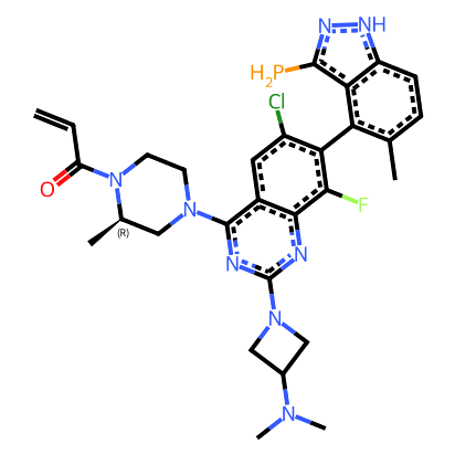 C=CC(=O)N1CCN(c2nc(N3CC(N(C)C)C3)nc3c(F)c(-c4c(C)ccc5[nH]nc(P)c45)c(Cl)cc23)C[C@H]1C